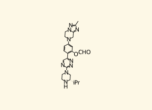 Cc1nc2n(n1)CCN(c1ccc(-c3cnc(N4CCN[C@@H](C(C)C)C4)nn3)c(OC=O)c1)C2